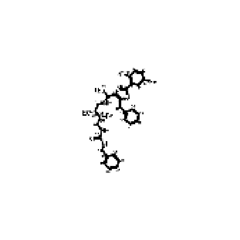 CC[C@@H](CNC(c1nc(-c2cc(F)ccc2F)oc1Cc1ccccc1)C(C)(C)C)[C@@H](F)CNC(=O)OCc1ccccc1